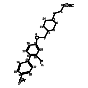 CCCCCCCCCCCCC1CCC(COc2ccc(-c3ccc(CCC)cc3)c(F)c2)CC1